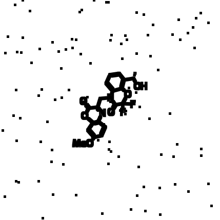 COc1ccc2nc(CN3C(=O)C(F)(F)Oc4c([C@H](C)O)cccc43)c(=O)oc2c1